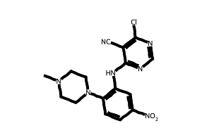 CN1CCN(c2ccc([N+](=O)[O-])cc2Nc2ncnc(Cl)c2C#N)CC1